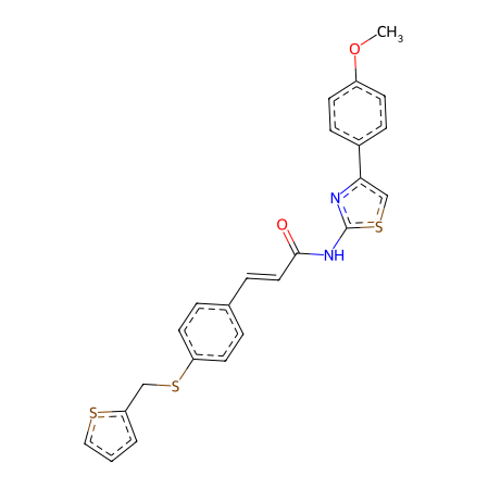 COc1ccc(-c2csc(NC(=O)/C=C/c3ccc(SCc4cccs4)cc3)n2)cc1